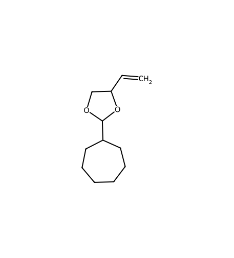 C=CC1COC(C2CCCCCC2)O1